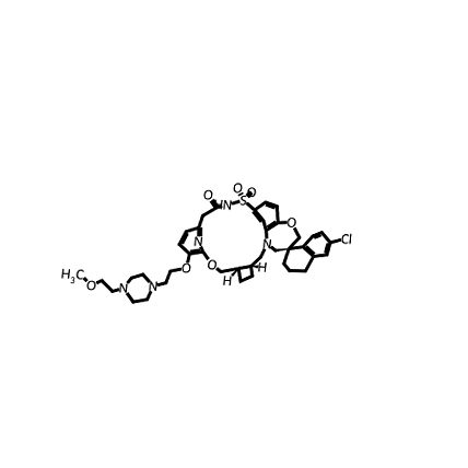 COCCN1CCN(CCOc2ccc3nc2OC[C@H]2CC[C@H]2CN2C[C@@]4(CCCc5cc(Cl)ccc54)COc4ccc(cc42)S(=O)(=O)NC(=O)C3)CC1